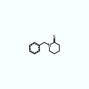 S=C1CCCCN1Cc1ccccc1